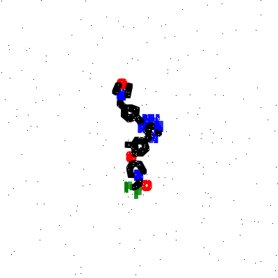 Cc1cc(-c2ncnc3[nH]c(-c4ccc(CN5CCOCC5)cc4)nc23)ccc1OC1CCN(C(=O)C(F)F)CC1